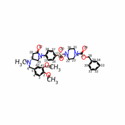 COc1ccc(CN(C)[C@@H]2CC(=O)N(c3ccc(S(=O)(=O)N4CCN(C(=O)OCc5ccccc5)CC4)cc3)C2)cc1OC